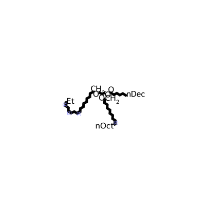 C=C(CCCCCCC/C=C\C/C=C\C/C=C\CC)OCC(COC(=O)CCCCCCCCCCCCCCC)OC(=C)CCCCCCC/C=C\CCCCCCCC